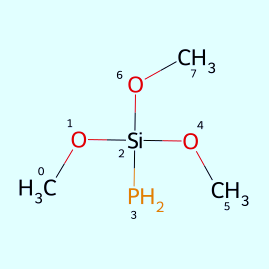 CO[Si](P)(OC)OC